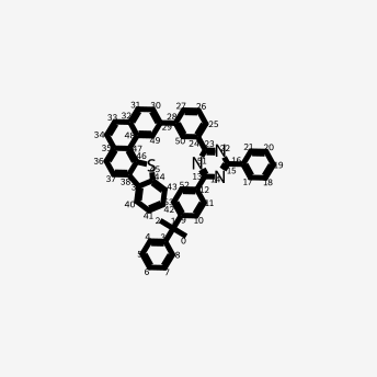 CC(C)(c1ccccc1)c1ccc(-c2nc(-c3ccccc3)nc(-c3cccc(-c4ccc5ccc6ccc7c8ccccc8sc7c6c5c4)c3)n2)cc1